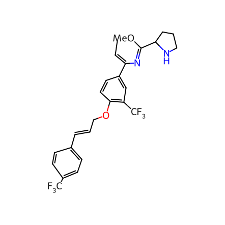 C/C=C(\N=C(/OC)C1CCCN1)c1ccc(OC/C=C/c2ccc(C(F)(F)F)cc2)c(C(F)(F)F)c1